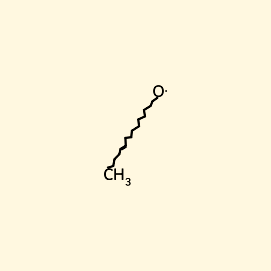 CCCCC/C=C/CCCCCCCCCC[O]